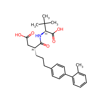 Cc1ccccc1-c1ccc(CCC[C@H](CC(=O)O)C(=O)N[C@H](C(=O)O)C(C)(C)C)cc1